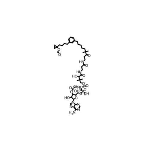 CC(C)(CCCCCc1cccc(CCCCC2(OC=O)CC2)c1)C(=O)CCNC(=O)CCNC(=O)C(O)C(C)(C)COP(=O)(O)OP(=O)(O)OCC1OC(n2cnc3c(N)ncnc32)C(O)C1OP(=O)(O)O